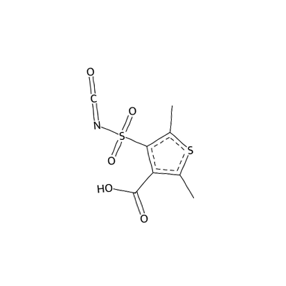 Cc1sc(C)c(S(=O)(=O)N=C=O)c1C(=O)O